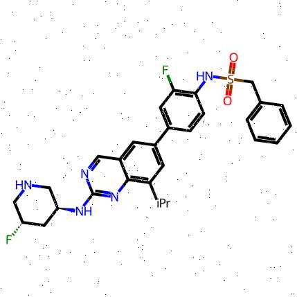 CC(C)c1cc(-c2ccc(NS(=O)(=O)Cc3ccccc3)c(F)c2)cc2cnc(N[C@@H]3CNC[C@@H](F)C3)nc12